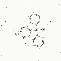 OC(c1ccccc1)(c1ccccc1)c1ccccc1.[KH]